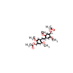 COc1cc(COC(C)=O)c(OC)cc1/C=C/c1cc(OC)c(COC(C)=O)cc1OC